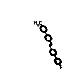 C[C@H]1CC[C@H](C2CCC(/C=C/[C@H]3CC[C@H](c4ccc(F)cc4)CC3)CC2)CC1